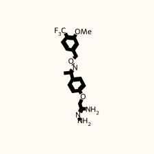 COc1cc(CO/N=C(\C)c2ccc(OC/C(N)=N/N)cc2)ccc1C(F)(F)F